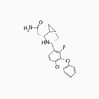 CC[C@@H](N[C@H](CC(N)=O)C1CC1)c1ccc(Cl)c(Oc2ccccc2)c1F